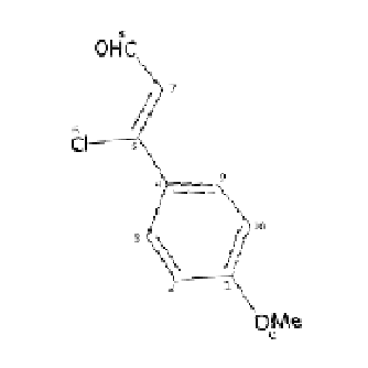 COc1ccc(C(Cl)=CC=O)cc1